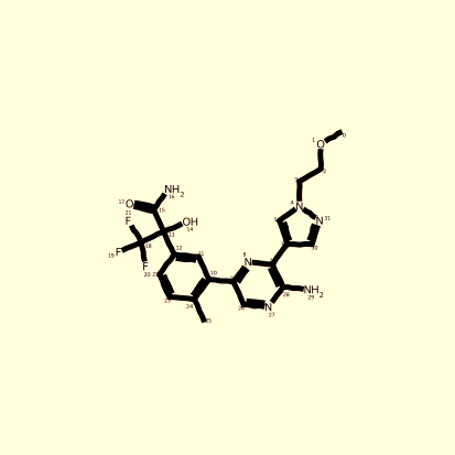 COCCn1cc(-c2nc(-c3cc(C(O)(C(N)=O)C(F)(F)F)ccc3C)cnc2N)cn1